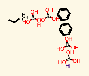 C.CCC.I.OB(O)O.OB(O)O.OB(O)O.OB(O)O.c1ccccc1.c1ccccc1